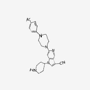 CC(=O)c1ccc(N2CCN(c3cc4c(cn3)c(C#N)cn4C3CCNCC3)CC2)cc1